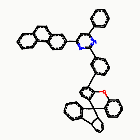 C1=CC2c3ccccc3C3(c4ccccc4Oc4c(-c5cccc(-c6nc(-c7ccccc7)cc(-c7ccc8c(ccc9ccccc98)c7)n6)c5)cccc43)C2C=C1